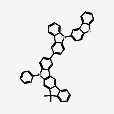 CC1(C)c2ccccc2-c2cc3c4cc(-c5ccc6c(c5)c5ccccc5n6-c5ccc6oc7ccccc7c6c5)ccc4n(-c4ccccc4)c3cc21